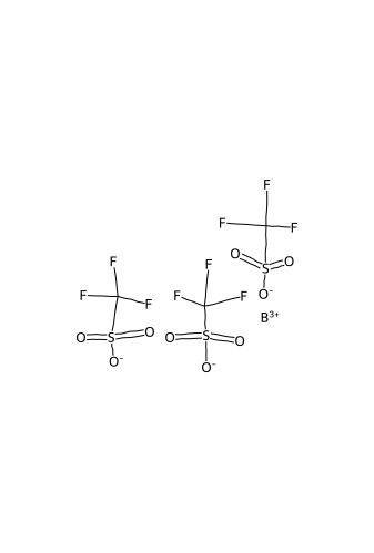 O=S(=O)([O-])C(F)(F)F.O=S(=O)([O-])C(F)(F)F.O=S(=O)([O-])C(F)(F)F.[B+3]